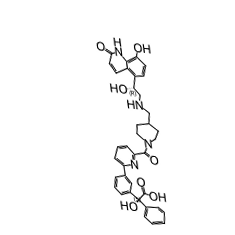 O=C(c1cccc(-c2cccc([C@](O)(C(=O)O)c3ccccc3)c2)n1)N1CCC(CNC[C@H](O)c2ccc(O)c3[nH]c(=O)ccc23)CC1